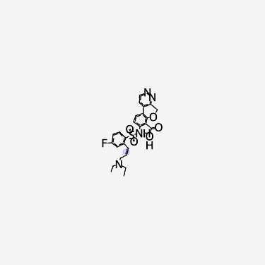 CCN(CC)C/C=C\c1cc(F)ccc1S(=O)(=O)Nc1ccc2c(c1C(=O)O)OCc1nnccc1-2